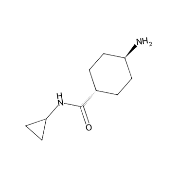 N[C@H]1CC[C@H](C(=O)NC2CC2)CC1